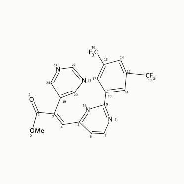 COC(=O)/C(=C/c1ccnc(-c2cc(C(F)(F)F)cc(C(F)(F)F)c2)n1)c1cncnc1